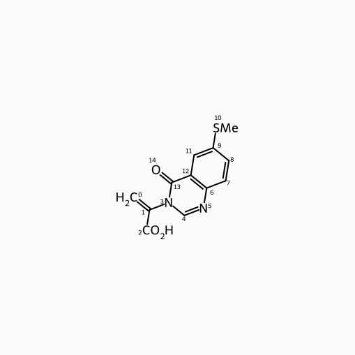 C=C(C(=O)O)n1cnc2ccc(SC)cc2c1=O